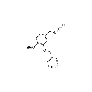 CC(C)COc1ccc(CN=C=O)cc1OCc1ccccc1